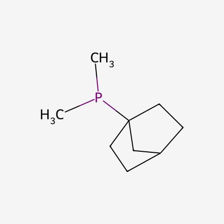 CP(C)C12CCC(CC1)C2